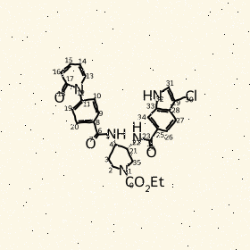 CCOC(=O)N1CC[C@H](NC(=O)c2ccc(-n3ccccc3=O)cc2)[C@H](NC(=O)c2ccc3c(Cl)c[nH]c3c2)C1